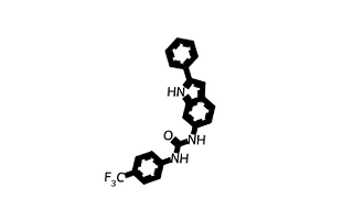 O=C(Nc1ccc(C(F)(F)F)cc1)Nc1ccc2cc(-c3ccccc3)[nH]c2c1